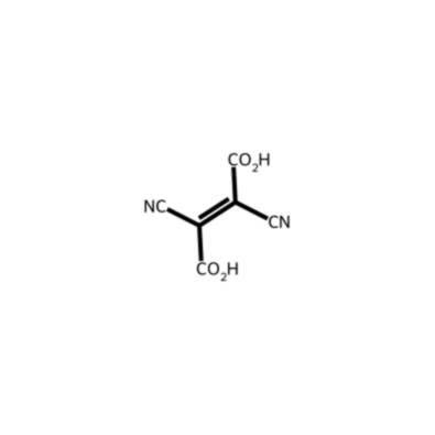 N#C/C(C(=O)O)=C(/C#N)C(=O)O